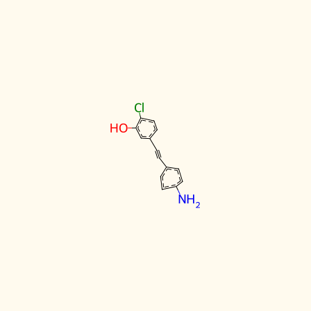 Nc1ccc(C#Cc2ccc(Cl)c(O)c2)cc1